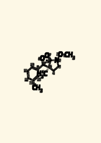 CON1CC[C@@](C)(C(=O)c2cccc(C)c2)C1=O